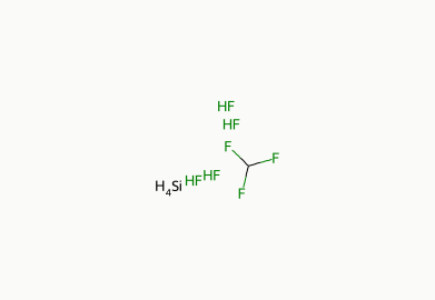 F.F.F.F.FC(F)F.[SiH4]